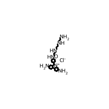 C[n+]1c(-c2ccc(NC(=O)CCNCCCCNCCCN)cc2)c2cc(N)ccc2c2ccc(N)cc21.[Cl-]